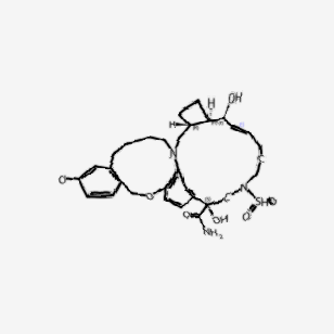 NC(=O)[C@@]1(O)CN([SH](=O)=O)CCC/C=C/[C@H](O)[C@@H]2CC[C@H]2CN2CCCCc3cc(Cl)ccc3COc3ccc1cc32